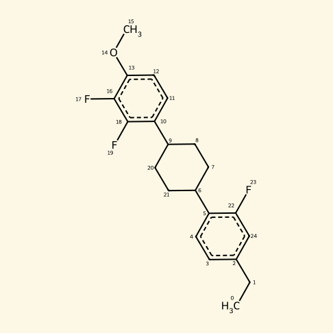 CCc1ccc(C2CCC(c3ccc(OC)c(F)c3F)CC2)c(F)c1